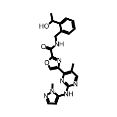 Cc1cnc(Nc2ccnn2C)nc1-c1coc(C(=O)NCc2ccccc2C(C)O)n1